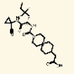 CCC(F)(F)C[C@H](NC(=O)N1CCC2(CCC(CC(=O)O)CC2)CC1)C(=O)NC1(C#N)CC1